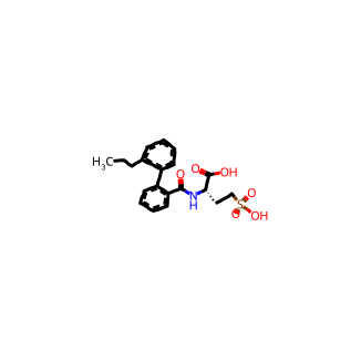 CCCc1ccccc1-c1ccccc1C(=O)N[C@@H](CCS(=O)(=O)O)C(=O)O